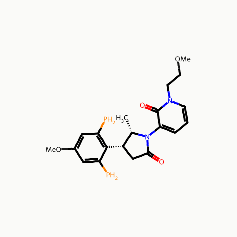 COCCn1cccc(N2C(=O)C[C@H](c3c(P)cc(OC)cc3P)[C@@H]2C)c1=O